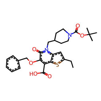 CCc1cc2c(s1)c(C(=O)O)c(OCc1ccccc1)c(=O)n2CC1CCN(C(=O)OC(C)(C)C)CC1